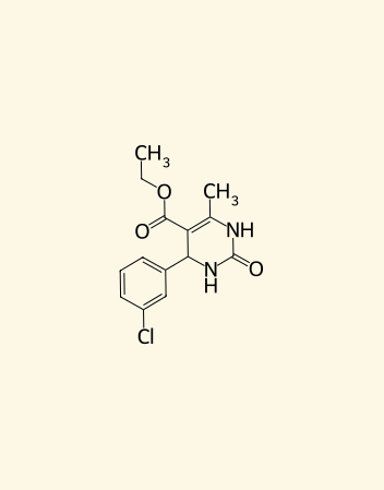 CCOC(=O)C1=C(C)NC(=O)NC1c1cccc(Cl)c1